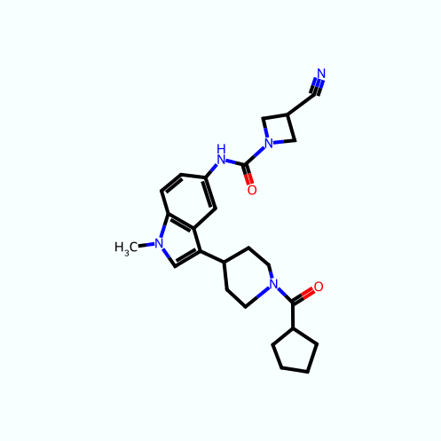 Cn1cc(C2CCN(C(=O)C3CCCC3)CC2)c2cc(NC(=O)N3CC(C#N)C3)ccc21